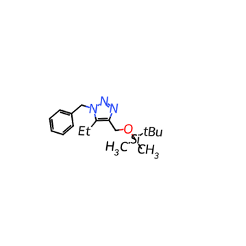 CCc1c(CO[Si](C)(C)C(C)(C)C)nnn1Cc1ccccc1